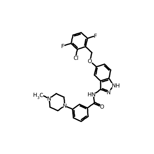 CN1CCN(c2cccc(C(=O)Nc3n[nH]c4ccc(OCc5c(F)ccc(F)c5Cl)cc34)c2)CC1